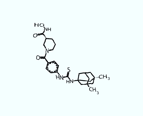 C[C@]12CC3CC(NC(=S)Nc4ccc(C(=O)N5CCC[C@H](C(=O)NO)C5)cc4)(C1)C[C@@](C)(C3)C2